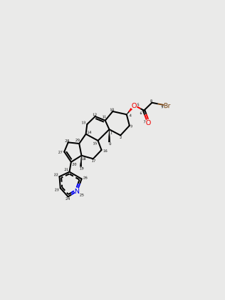 C[C@]12CC[C@H](OC(=O)CBr)CC1=CCC1C2CC[C@]2(C)C(c3cccnc3)=CCC12